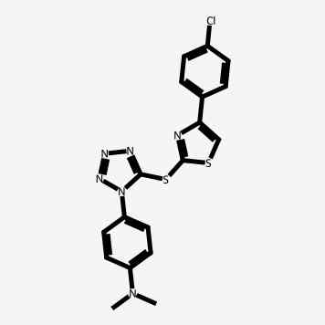 CN(C)c1ccc(-n2nnnc2Sc2nc(-c3ccc(Cl)cc3)cs2)cc1